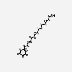 SCCOCC[CH]CCOCCCSCCc1ccccc1